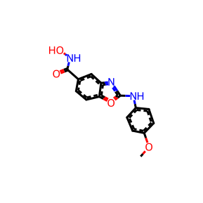 COc1ccc(Nc2nc3cc(C(=O)NO)ccc3o2)cc1